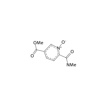 CNC(=O)c1ccc(C(=O)OC)c[n+]1[O-]